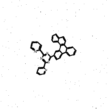 c1ccc(-c2nc(-c3ccc4c5ccccc5c5ccc6ccccc6c5c4c3)nc(-c3ccccn3)n2)nc1